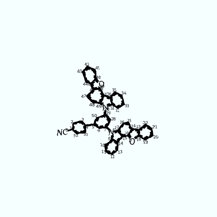 N#Cc1ccc(-c2cc(-n3c4ccccc4c4c5oc6ccccc6c5ccc43)cc(-n3c4ccccc4c4c5oc6ccccc6c5ccc43)c2)cc1